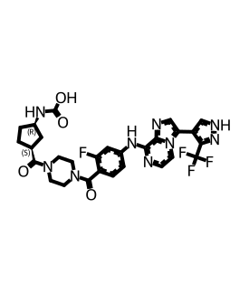 O=C(O)N[C@@H]1CC[C@H](C(=O)N2CCN(C(=O)c3ccc(Nc4nccn5c(-c6c[nH]nc6C(F)(F)F)cnc45)cc3F)CC2)C1